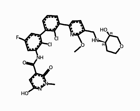 COc1nc(-c2cccc(-c3cc(F)cc(NC(=O)c4cc(O)nn(C)c4=O)c3Cl)c2Cl)ccc1CN[C@@H]1CCOC[C@@H]1O